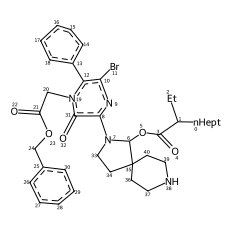 CCCCCCCC(CC)C(=O)OC1N(c2nc(Br)c(-c3ccccc3)n(CC(=O)OCc3ccccc3)c2=O)CCC12CCNCC2